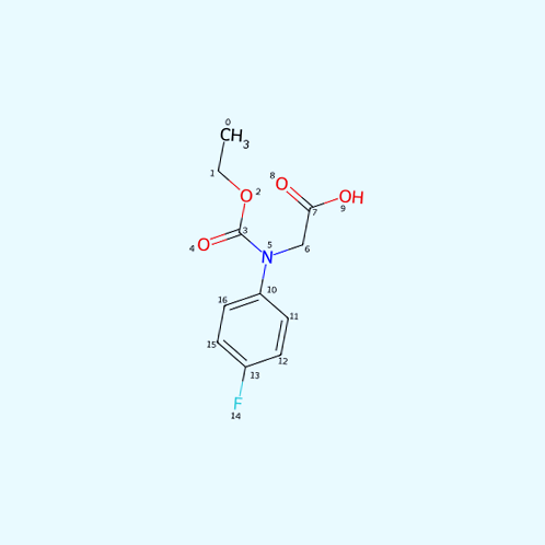 CCOC(=O)N(CC(=O)O)c1ccc(F)cc1